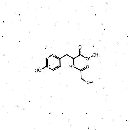 COC(=O)C(Cc1ccc(O)cc1)NC(=O)CO